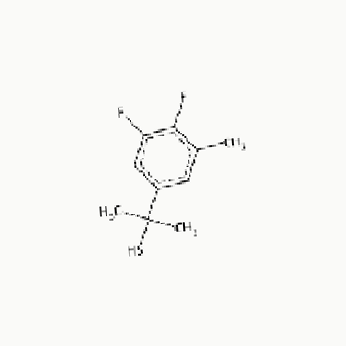 Cc1cc(C(C)(C)S)cc(F)c1F